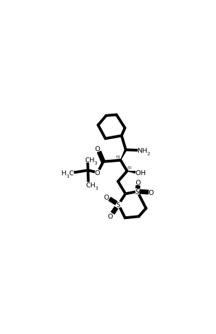 CC(C)(C)OC(=O)[C@@H](C(N)C1CCCCC1)[C@@H](O)CC1S(=O)(=O)CCCS1(=O)=O